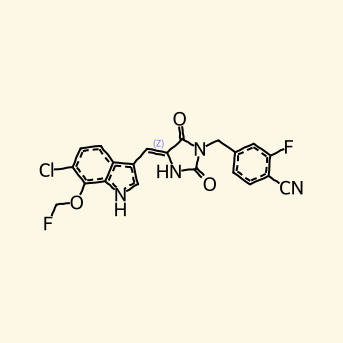 N#Cc1ccc(CN2C(=O)N/C(=C\c3c[nH]c4c(OCF)c(Cl)ccc34)C2=O)cc1F